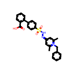 Cc1cc(=NNS(=O)(=O)c2ccc(-c3ccccc3C(=O)O)cc2)cc(C)n1Cc1ccccc1